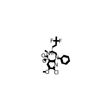 COc1cc2c(nc1Cl)N(c1ccccc1)C[C@@H](CCC(C)(F)F)N(C)S2(=O)=O